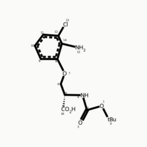 CC(C)(C)OC(=O)N[C@@H](COc1cccc(Cl)c1N)C(=O)O